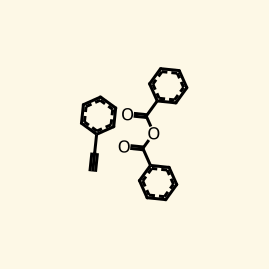 C#Cc1ccccc1.O=C(OC(=O)c1ccccc1)c1ccccc1